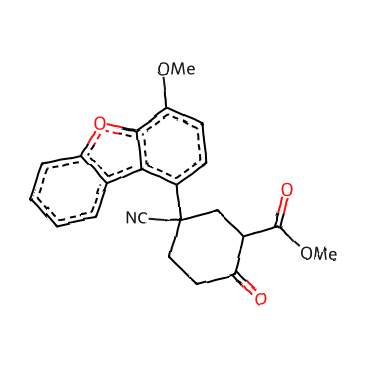 COC(=O)C1CC(C#N)(c2ccc(OC)c3oc4ccccc4c23)CCC1=O